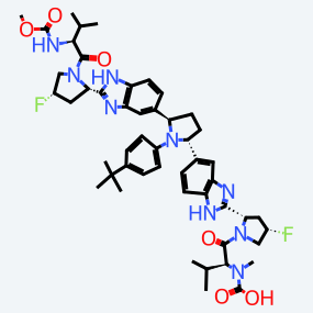 COC(=O)N[C@H](C(=O)N1C[C@@H](F)C[C@H]1c1nc2cc([C@H]3CC[C@H](c4ccc5[nH]c([C@@H]6C[C@H](F)CN6C(=O)[C@H](C(C)C)N(C)C(=O)O)nc5c4)N3c3ccc(C(C)(C)C)cc3)ccc2[nH]1)C(C)C